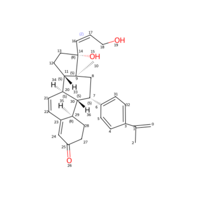 C=C(C)c1ccc([C@H]2C[C@@]3(C)[C@@H](CC[C@@]3(O)/C=C\CO)[C@@H]3C=CC4=CC(=O)CC[C@@H]4[C@H]32)cc1